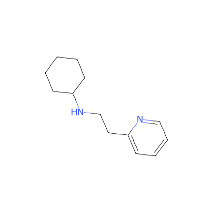 c1ccc(CCNC2CCCCC2)nc1